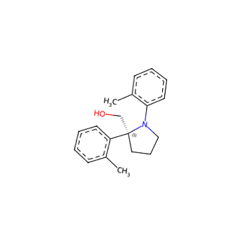 Cc1ccccc1N1CCC[C@@]1(CO)c1ccccc1C